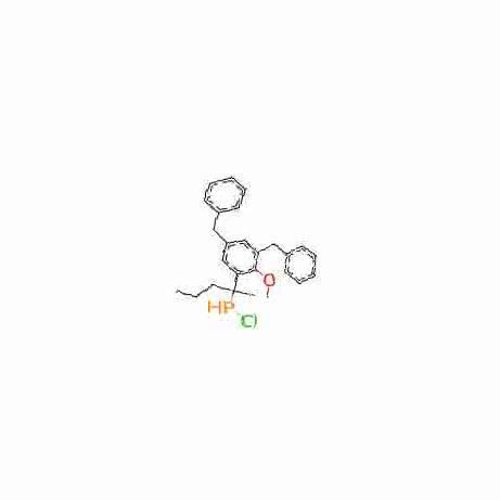 CCCC(C)(PCl)c1cc(Cc2ccccc2)cc(Cc2ccccc2)c1OC